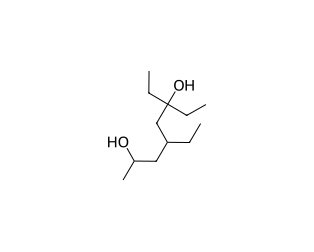 CCC(CC(C)O)CC(O)(CC)CC